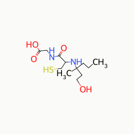 CCCC(C)(CCO)NC(CS)C(=O)NCC(=O)O